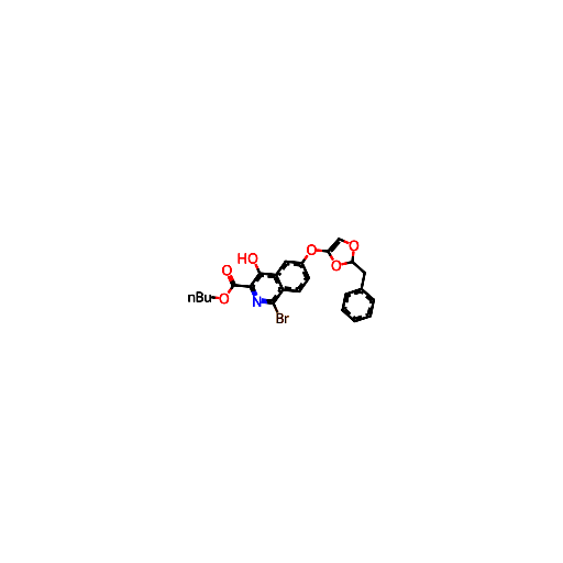 CCCCOC(=O)c1nc(Br)c2ccc(OC3=COC(Cc4ccccc4)O3)cc2c1O